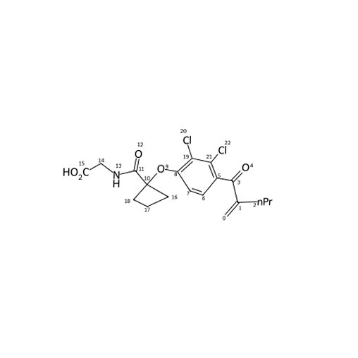 C=C(CCC)C(=O)c1ccc(OC2(C(=O)NCC(=O)O)CCC2)c(Cl)c1Cl